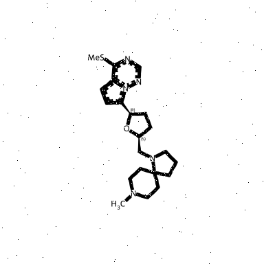 CSc1ncnn2c([C@H]3CC[C@@H](CN4CCCC45CCN(C)CC5)O3)ccc12